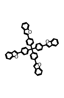 c1ccc2oc(-c3ccc(C(c4ccc(-c5cc6ccccc6o5)cc4)(c4ccc(-c5cc6ccccc6o5)cc4)c4ccc(-c5cc6ccccc6o5)cc4)cc3)cc2c1